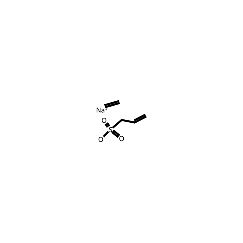 C=C.C=CCS(=O)(=O)[O-].[Na+]